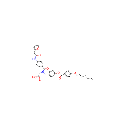 CCCCCCCOc1ccc(C(=O)Oc2ccc(CN(CC(=O)O)C(=O)c3ccc(NC(=O)Cc4ccco4)cc3)cc2)cc1